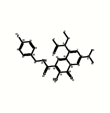 CCN(C(C)=O)c1cc(N(C)C)cn2c(=O)c(O)c(C(=O)NCc3ccc(F)cc3)nc12